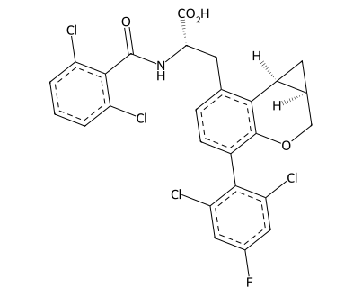 O=C(N[C@@H](Cc1ccc(-c2c(Cl)cc(F)cc2Cl)c2c1[C@H]1C[C@H]1CO2)C(=O)O)c1c(Cl)cccc1Cl